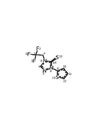 FC(F)(F)Cn1cnn(-c2cccs2)c1=S